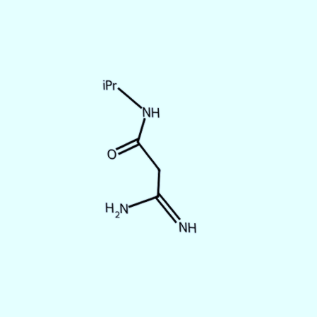 CC(C)NC(=O)CC(=N)N